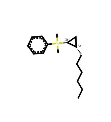 CCCCCC[C@H]1C[C@@H]1S(C)(C)c1ccccc1